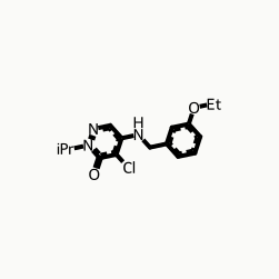 CCOc1cccc(CNc2cnn(C(C)C)c(=O)c2Cl)c1